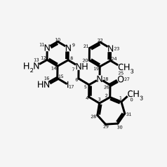 CC1=c2c(cc(CNc3ncnc(N)c3C(=N)I)n(-c3cccnc3C)c2=O)=CCC=C1